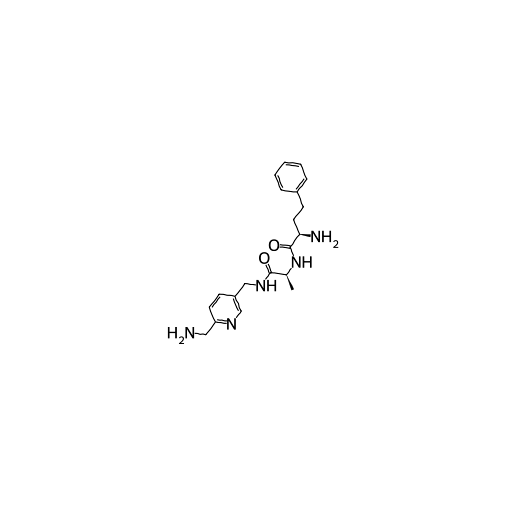 C[C@H](NC(=O)[C@H](N)CCc1ccccc1)C(=O)NCc1ccc(CN)nc1